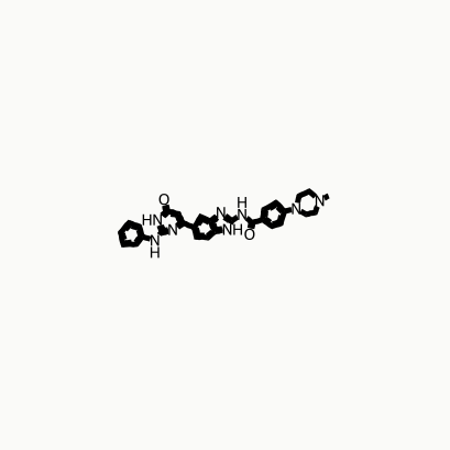 CN1CCN(c2ccc(C(=O)Nc3nc4cc(-c5cc(=O)[nH]c(Nc6ccccc6)n5)ccc4[nH]3)cc2)CC1